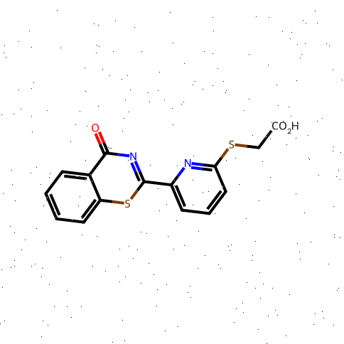 O=C(O)CSc1cccc(-c2nc(=O)c3ccccc3s2)n1